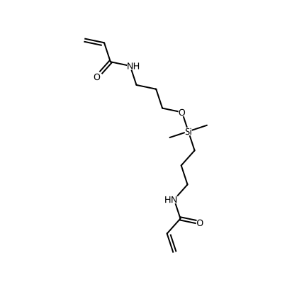 C=CC(=O)NCCCO[Si](C)(C)CCCNC(=O)C=C